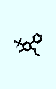 CCOc1cc(F)c(C(F)(F)F)cc1-c1ccnnc1